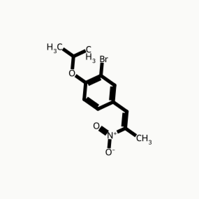 CC(=Cc1ccc(OC(C)C)c(Br)c1)[N+](=O)[O-]